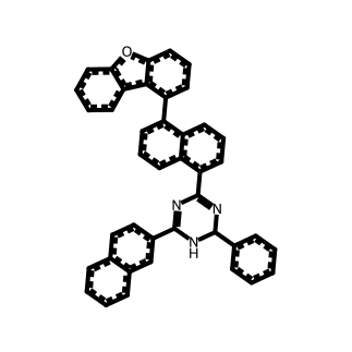 c1ccc(C2N=C(c3cccc4c(-c5cccc6oc7ccccc7c56)cccc34)N=C(c3ccc4ccccc4c3)N2)cc1